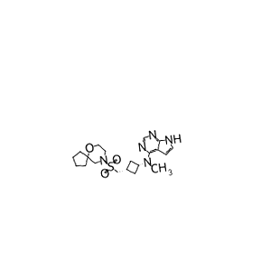 CN(c1ncnc2[nH]ccc12)[C@H]1C[C@@H](CS(=O)(=O)N2CCOC3(CCCC3)C2)C1